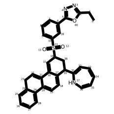 CCc1nnc(-c2cccc(S(=O)(=O)C3C=c4c(ccc5c4=CCc4ccccc4-5)C(C4=CC=CC=CN4)C3)c2)o1